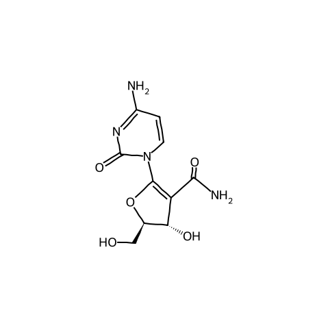 NC(=O)C1=C(n2ccc(N)nc2=O)O[C@H](CO)[C@H]1O